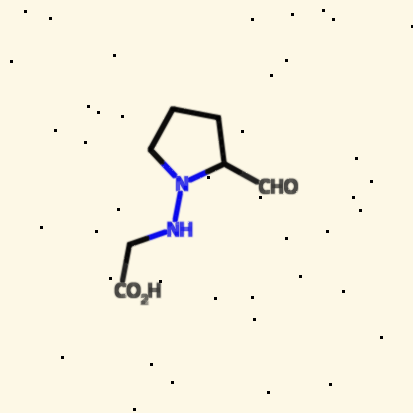 O=CC1CCCN1NCC(=O)O